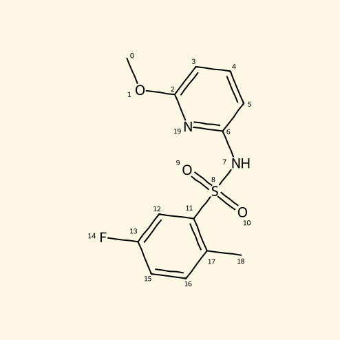 COc1cccc(NS(=O)(=O)c2cc(F)ccc2C)n1